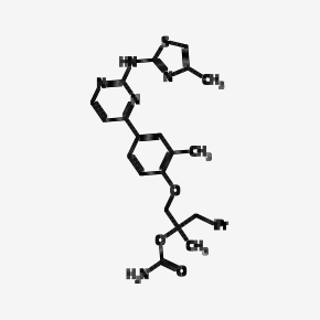 Cc1csc(Nc2nccc(-c3ccc(OCC(C)(CC(C)C)OC(N)=O)c(C)c3)n2)n1